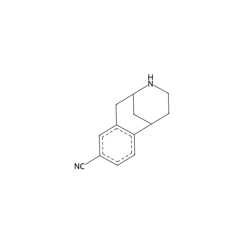 N#Cc1ccc2c(c1)CC1CC2CCN1